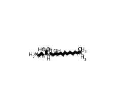 CC(C)CCCCCCCCCC(O)CC(=O)N[C@H](CCCN)C(=O)O